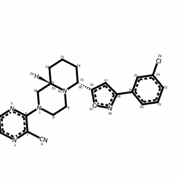 N#Cc1nccnc1N1CCN2[C@@H](CCC[C@@H]2c2cc(-c3cccc(Cl)c3)no2)C1